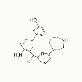 Nc1ncc(-c2cccc(O)c2)cc1C(=O)c1cccc(N2CCCNCC2)n1